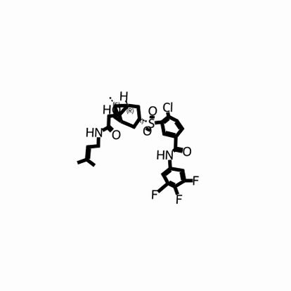 CC(C)=CCNC(=O)C[C@@]1(O)C2C[C@@H](S(=O)(=O)c3cc(C(=O)Nc4cc(F)c(F)c(F)c4)ccc3Cl)C[C@@H]1[C@@H](C)C2